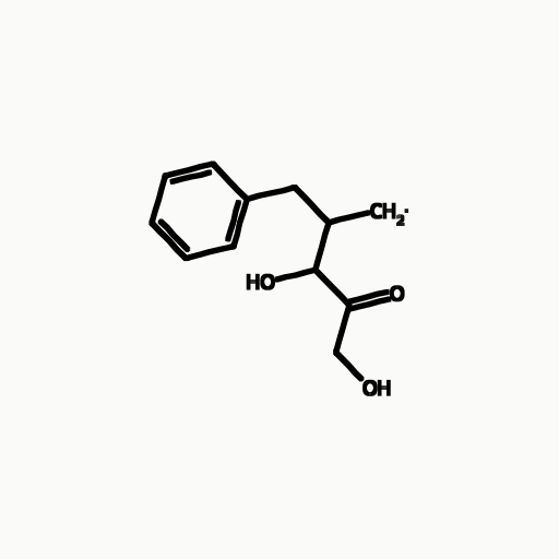 [CH2]C(Cc1ccccc1)C(O)C(=O)CO